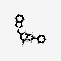 O=c1cc(CN2Cc3ccccc3C2)[nH]c2nc(-c3ccccc3)nn12